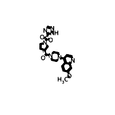 COc1ccc2c(N3CCN(C(=O)[C@H]4CCN(S(=O)(=O)c5ncn[nH]5)C4)CC3)ccnc2c1